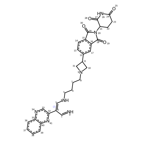 N=C/C(=C\NCCCCN1CC(c2ccc3c(c2)C(=O)N(C2CCC(=O)NC2=O)C3=O)C1)c1cnc2ccccc2n1